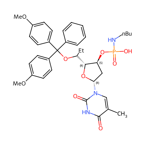 CCCCNP(=O)(O)O[C@H]1C[C@H](n2cc(C)c(=O)[nH]c2=O)O[C@@H]1C(CC)OC(c1ccccc1)(c1ccc(OC)cc1)c1ccc(OC)cc1